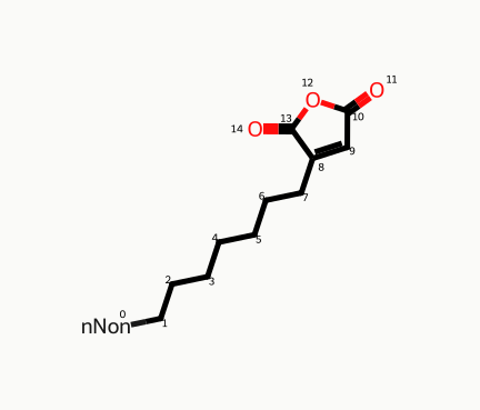 CCCCCCCCCCCCCCCCC1=CC(=O)OC1=O